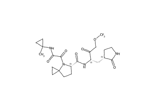 CC1(NC(=O)C(=O)N2[C@H](C(=O)N[C@@H](C[C@@H]3CCNC3=O)C(=O)COC(F)(F)F)CCC23CC3)CC1